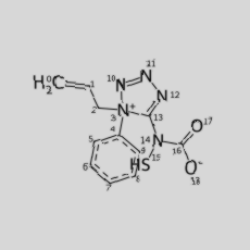 C=CC[N+]1(c2ccccc2)N=NN=C1N(S)C(=O)[O-]